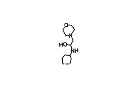 OC(CN1CCOCC1)NC1CCCCC1